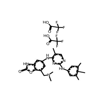 Cc1cnc(Nc2cc(C)c(C)c(C)c2)nc1Nc1cc(CN(C)C)c2oc(=O)[nH]c2c1.O=C(O)C(F)(F)F.O=C(O)C(F)(F)F